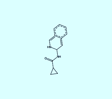 O=C(NC1C=c2ccccc2=CN1)C1CC1